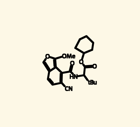 COc1occ2ccc(C#N)c(C(=O)NC(C(=O)OC3CCCCC3)C(C)(C)C)c12